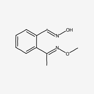 CON=C(C)c1ccccc1[C]=NO